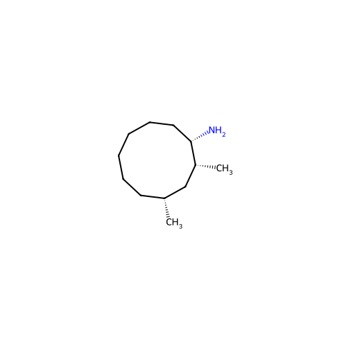 C[C@@H]1CCCCCC[C@H](N)[C@H](C)C1